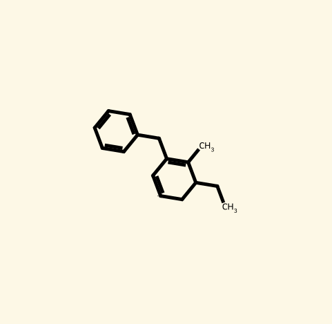 CCC1C[C]=CC(Cc2ccccc2)=C1C